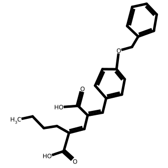 CCCCC(=CC(=Cc1ccc(OCc2ccccc2)cc1)C(=O)O)C(=O)O